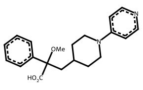 COC(CC1CCN(c2ccncc2)CC1)(C(=O)O)c1ccccc1